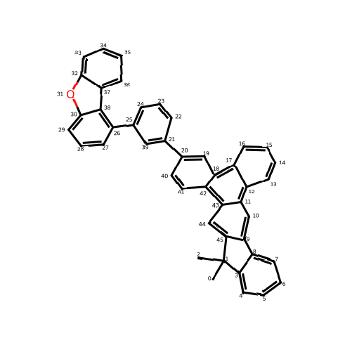 CC1(C)c2ccccc2-c2cc3c4ccccc4c4cc(-c5cccc(-c6cccc7oc8ccccc8c67)c5)ccc4c3cc21